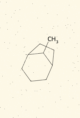 CC1[C]2CCCC1CC2